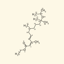 CCOC(=O)C=C(C)C=CCC(C)CCCC(C)(C)OC(C)C